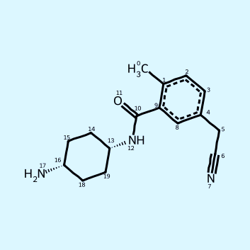 Cc1ccc(CC#N)cc1C(=O)N[C@H]1CC[C@@H](N)CC1